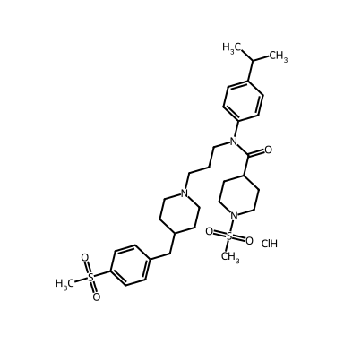 CC(C)c1ccc(N(CCCN2CCC(Cc3ccc(S(C)(=O)=O)cc3)CC2)C(=O)C2CCN(S(C)(=O)=O)CC2)cc1.Cl